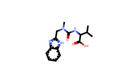 CC(C)C(NC(=O)N(C)Cc1nc2ccccc2[nH]1)C(=O)O